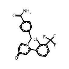 NC(=O)c1ccc(Cn2ccc(=O)cc2-c2cccc(C(F)(F)F)c2Cl)cc1